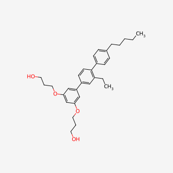 CCCCCc1ccc(-c2ccc(-c3cc(OCCCO)cc(OCCCO)c3)cc2CC)cc1